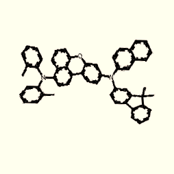 Cc1ccccc1N(c1ccccc1C)c1ccc2c3c(cccc13)Oc1cc(N(c3ccc4c(c3)C(C)(C)c3ccccc3-4)c3ccc4ccccc4c3)ccc1-2